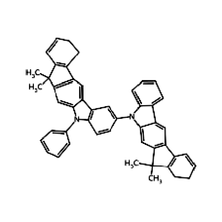 CC1(C)C2=C(CCC=C2)c2cc3c4cc(-n5c6ccccc6c6cc7c(cc65)C(C)(C)C5=C7C=CCC5)ccc4n(-c4ccccc4)c3cc21